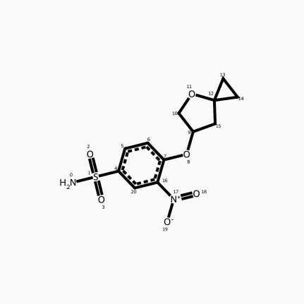 NS(=O)(=O)c1ccc(OC2COC3(CC3)C2)c([N+](=O)[O-])c1